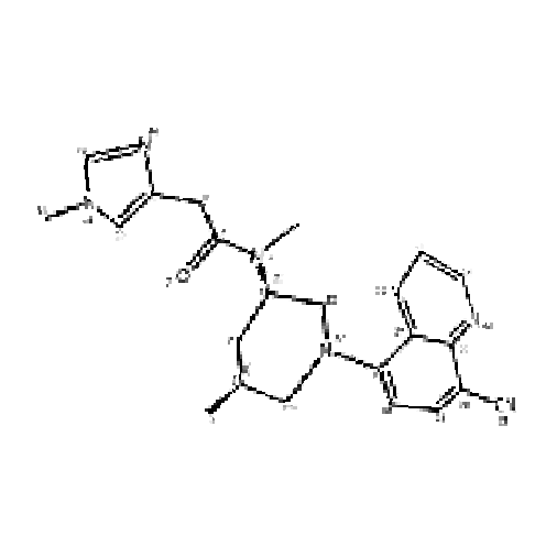 C[C@H]1C[C@@H](N(C)C(=O)Cc2cn(C)cn2)CN(c2ccc(C#N)c3nccnc23)C1